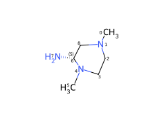 CN1CCN(C)[C@H](N)C1